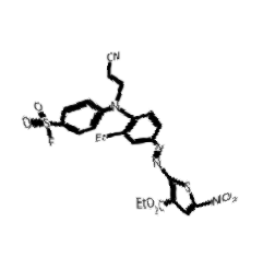 CCOC(=O)c1cc([N+](=O)[O-])sc1N=Nc1ccc(N(CCC#N)c2ccc(S(=O)(=O)F)cc2)c(CC)c1